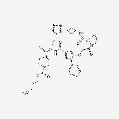 CCCCOC(=O)N1CCN(C(=O)[C@H](CCc2nn[nH]n2)NC(=O)c2cc(OCC(=O)N3CCC[C@H]3C(=O)NC3CCC3)n(-c3ccccc3)n2)CC1